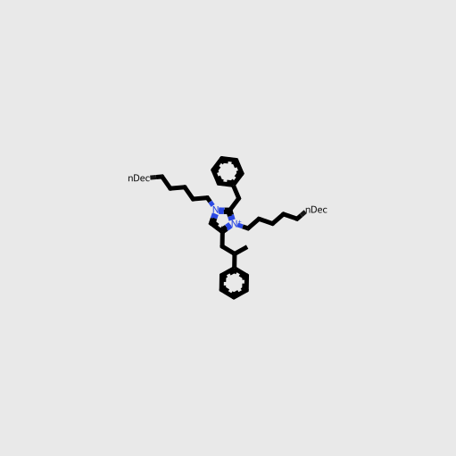 CCCCCCCCCCCCCCCn1cc(CC(C)c2ccccc2)[n+](CCCCCCCCCCCCCCC)c1Cc1ccccc1